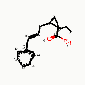 CCC1(C(=O)O)CC1CC=Cc1ccccc1